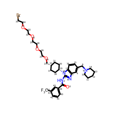 O=C(Nc1nc2cc(CN3CCCCC3)ccc2n1[C@H]1CC[C@@H](COCCOCCOCCOCCBr)CC1)c1cccc(C(F)(F)F)c1